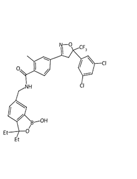 CCC1(CC)OB(O)c2cc(CNC(=O)c3ccc(C4=NOC(c5cc(Cl)cc(Cl)c5)(C(F)(F)F)C4)cc3C)ccc21